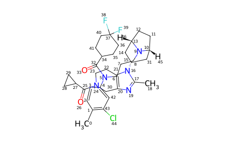 Cc1ccc(N(CCCN2[C@@H]3CC[C@H]2C[C@@H](n2c(C)nc4c2CCN(C(=O)C2CC2)C4)C3)C(=O)C2CCC(F)(F)CC2)cc1Cl